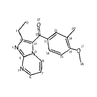 CCc1nc2ncccn2c1C(=O)c1ccc(OC)c(C)c1